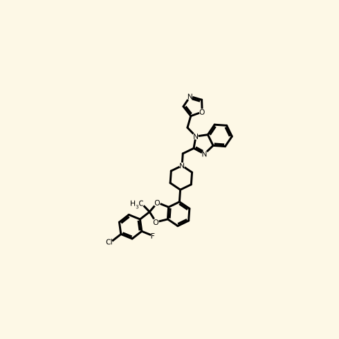 CC1(c2ccc(Cl)cc2F)Oc2cccc(C3CCN(Cc4nc5ccccc5n4Cc4cnco4)CC3)c2O1